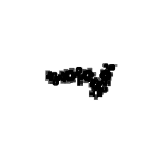 C[S+]([O-])c1ccc(Nc2nc(N3CCCC(NC(=O)N4CCC5(CC4)CN(C(=O)OC(C)(C)C)C5)C3)cnc2C(N)=O)cc1